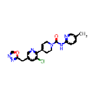 Cc1ccc(NC(=O)N2CC=C(c3ncc(Cc4nnco4)cc3Cl)CC2)nc1